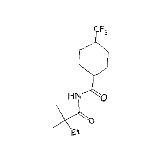 CCC(C)(C)C(=O)NC(=O)C1CCC(C(F)(F)F)CC1